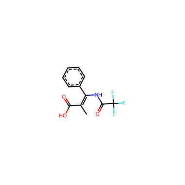 CC(C(=O)O)=C(NC(=O)C(F)(F)F)c1ccccc1